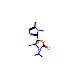 Cc1cnc([C@H]2OC(=O)N(C(C)C)[C@H]2C)n1C